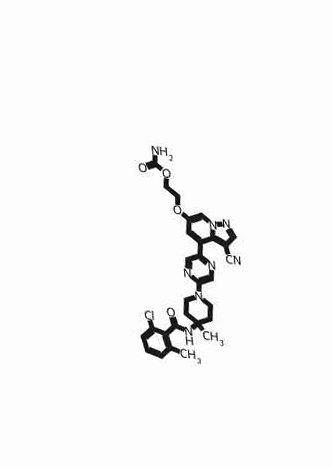 Cc1cccc(Cl)c1C(=O)NC1(C)CCN(c2cnc(-c3cc(OCCOC(N)=O)cn4ncc(C#N)c34)cn2)CC1